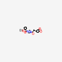 CCOc1ccccc1C(=O)N1CCN(C(=O)C2CC2c2ccc3c(c2)OCO3)CC1